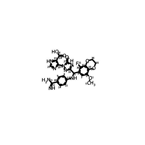 COc1cc(C(Nc2ccc(C(=N)N)cc2)c2nn(-c3nc[nH]c3C(=O)O)c(=O)[nH]2)c(F)c2c1OCCO2